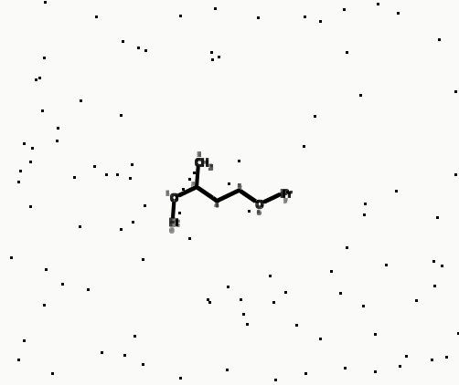 CCOC(C)CCOC(C)C